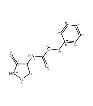 O=C(NC1CONC1=O)OCc1ccccc1